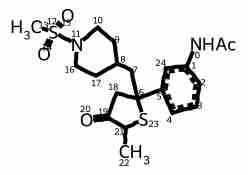 CC(=O)Nc1cccc(C2(CC3CCN(S(C)(=O)=O)CC3)CC(=O)C(C)S2)c1